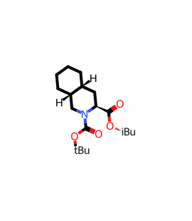 CC[C@@H](C)OC(=O)[C@@H]1C[C@H]2CCCC[C@H]2CN1C(=O)OC(C)(C)C